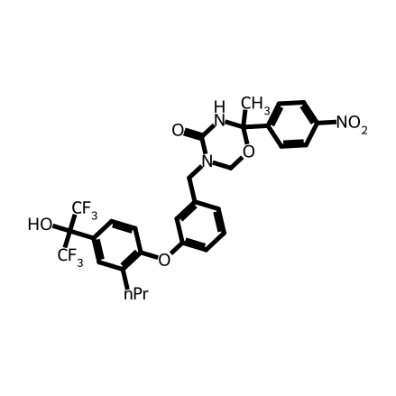 CCCc1cc(C(O)(C(F)(F)F)C(F)(F)F)ccc1Oc1cccc(CN2COC(C)(c3ccc([N+](=O)[O-])cc3)NC2=O)c1